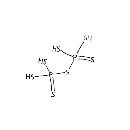 S=P(S)(S)SP(=S)(S)S